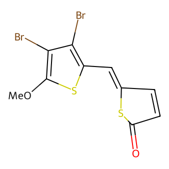 COc1sc(C=C2C=CC(=O)S2)c(Br)c1Br